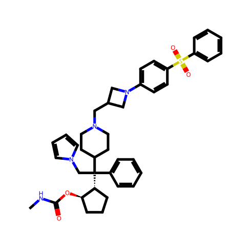 CNC(=O)O[C@@H]1CCC[C@H]1C(Cn1cccc1)(c1ccccc1)C1CCN(CC2CN(c3ccc(S(=O)(=O)c4ccccc4)cc3)C2)CC1